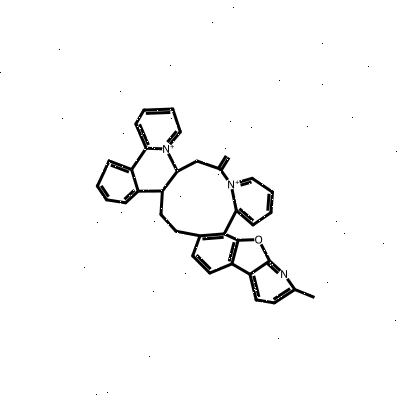 C=C1CC2C(CCc3ccc4c(oc5nc(C)ccc54)c3-c3cccc[n+]31)c1ccccc1-c1cccc[n+]12